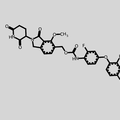 COc1c(COC(=O)Nc2ccc(Oc3ccc(F)cc3F)cc2F)ccc2c1C(=O)N(C1CCC(=O)NC1=O)C2